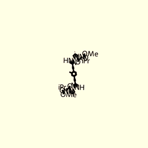 COC(=O)N[C@H](C(=O)N1C[C@@H](C)C[C@H]1c1nc(C#Cc2ccc(C#Cc3c[nH]c([C@@H]4C[C@H](C)CN4C(=O)[C@@H](NC(=O)OC)C(C)C)n3)c(C)c2)c[nH]1)C(C)C